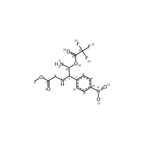 COC(=O)CNC(c1ccc([N+](=O)[O-])cc1)C(N)OC(=O)C(F)(F)F